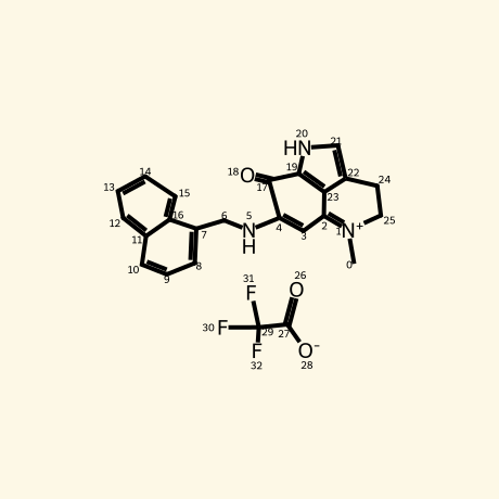 C[N+]1=C2C=C(NCc3cccc4ccccc34)C(=O)c3[nH]cc(c32)CC1.O=C([O-])C(F)(F)F